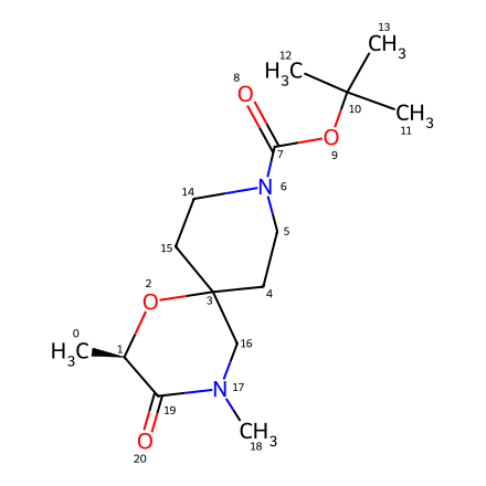 C[C@H]1OC2(CCN(C(=O)OC(C)(C)C)CC2)CN(C)C1=O